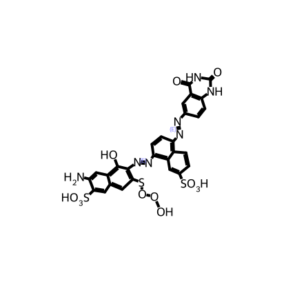 Nc1cc2c(O)c(/N=N/c3ccc(/N=N/c4ccc5[nH]c(=O)[nH]c(=O)c5c4)c4ccc(S(=O)(=O)O)cc34)c(SOOO)cc2cc1S(=O)(=O)O